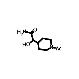 CC(=O)N1CCC(C(O)C(N)=O)CC1